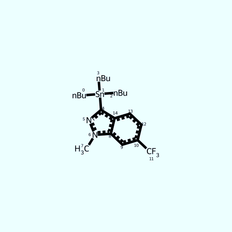 CCC[CH2][Sn]([CH2]CCC)([CH2]CCC)[c]1nn(C)c2cc(C(F)(F)F)ccc12